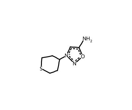 Nc1c[n+](C2CCSCC2)no1